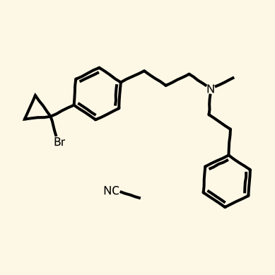 CC#N.CN(CCCc1ccc(C2(Br)CC2)cc1)CCc1ccccc1